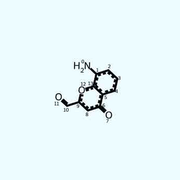 Nc1cccc2c(=O)cc(C=O)oc12